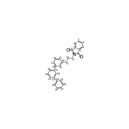 O=C1c2ccccc2C(=O)N1CCCc1cccc(-c2cccc(-c3ccccc3)c2)c1